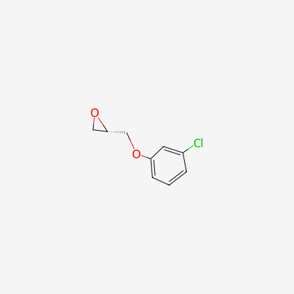 Clc1cccc(OC[C@@H]2CO2)c1